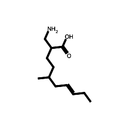 CC/C=C/CC(C)CCC(CN)C(=O)O